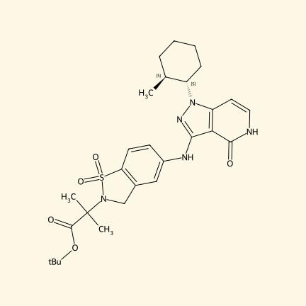 C[C@H]1CCCC[C@@H]1n1nc(Nc2ccc3c(c2)CN(C(C)(C)C(=O)OC(C)(C)C)S3(=O)=O)c2c(=O)[nH]ccc21